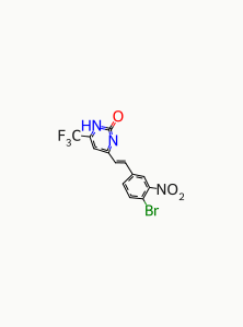 O=c1nc(/C=C/c2ccc(Br)c([N+](=O)[O-])c2)cc(C(F)(F)F)[nH]1